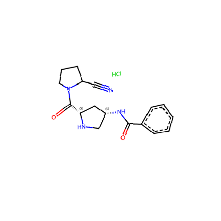 Cl.N#CC1CCCN1C(=O)[C@@H]1C[C@H](NC(=O)c2ccccc2)CN1